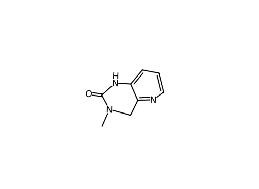 CN1Cc2ncccc2NC1=O